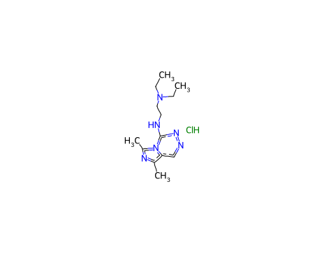 CCN(CC)CCNc1nncc2c(C)nc(C)n12.Cl